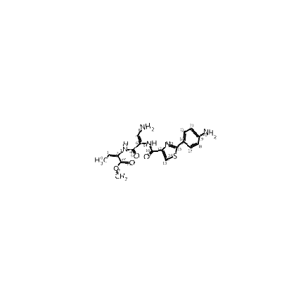 C/C=C(/NC(=O)/C(=C/N)NC(=O)c1csc(-c2ccc(N)cc2)n1)C(=O)OC